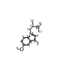 COc1ccc2c(c1)c(C)cn2C[C@@H](C)N(C)C